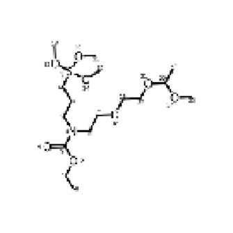 CCOC(=O)N(CCC[Si](OC)(OC)OC)CCOCCOC(C)OC